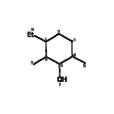 CCC1CCC(C)C(O)C1C